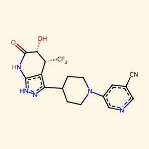 N#Cc1cncc(N2CCC(c3n[nH]c4c3[C@@H](C(F)(F)F)[C@@H](O)C(=O)N4)CC2)c1